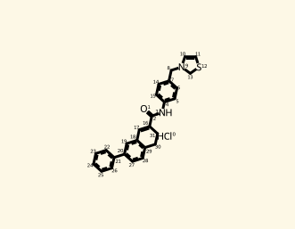 Cl.O=C(Nc1ccc(CN2C=CSC2)cc1)C1=Cc2cc(-c3ccccc3)ccc2CC1